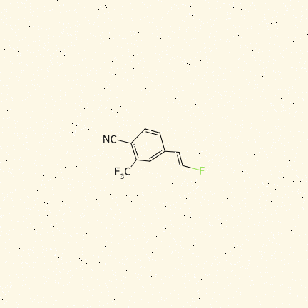 N#Cc1ccc(C=CF)cc1C(F)(F)F